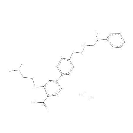 CN(C)CCOc1cc(-c2ccc(CCNC[C@@H](O)c3ccccc3)cc2)ccc1C(=O)O.Cl.Cl